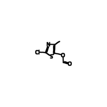 Cc1nc(Cl)sc1OC=O